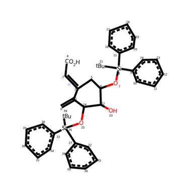 C=C1/C(=C/C(=O)O)CC(O[Si](c2ccccc2)(c2ccccc2)C(C)(C)C)C(O)C1O[Si](c1ccccc1)(c1ccccc1)C(C)(C)C